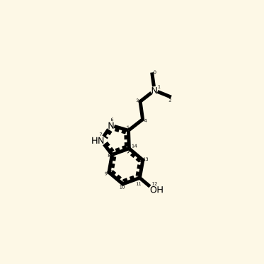 CN(C)CCc1n[nH]c2ccc(O)cc12